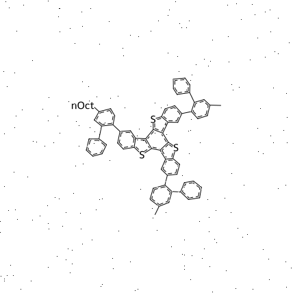 CCCCCCCCc1ccc(-c2ccc3sc4c5c6cc(-c7ccc(C)cc7-c7ccccc7)ccc6sc5c5c6cc(-c7ccc(C)cc7-c7ccccc7)ccc6sc5c4c3c2)c(-c2ccccc2)c1